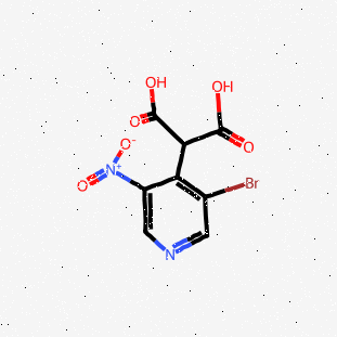 O=C(O)C(C(=O)O)c1c(Br)cncc1[N+](=O)[O-]